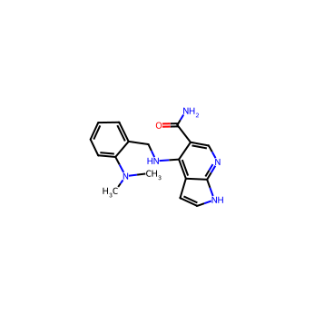 CN(C)c1ccccc1CNc1c(C(N)=O)cnc2[nH]ccc12